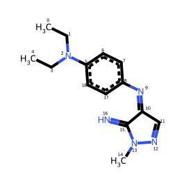 CCN(CC)c1ccc(N=C2C=NN(C)C2=N)cc1